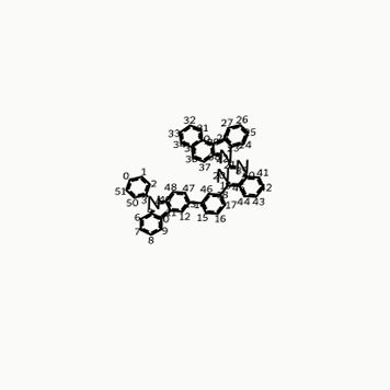 c1ccc(-n2c3ccccc3c3cc(-c4cccc(-c5nc(-n6c7ccccc7c7c8ccccc8ccc76)nc6ccccc56)c4)ccc32)cc1